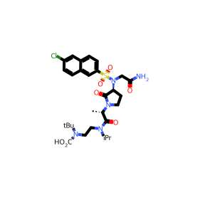 CC(C)N(CCN(C(=O)O)C(C)(C)C)C(=O)[C@H](C)N1CC[C@H](N(CC(N)=O)S(=O)(=O)c2ccc3cc(Cl)ccc3c2)C1=O